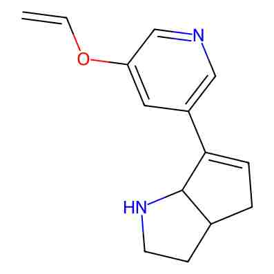 C=COc1cncc(C2=CCC3CCNC23)c1